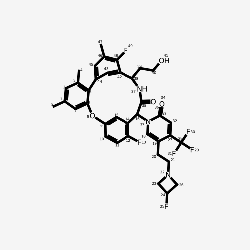 Cc1cc(C)c2c(c1)Oc1ccc(F)c(c1)C(n1cc(CCN3CC(F)C3)c(C(F)(F)F)cc1=O)C(=O)NC(CCO)c1cc-2cc(C)c1F